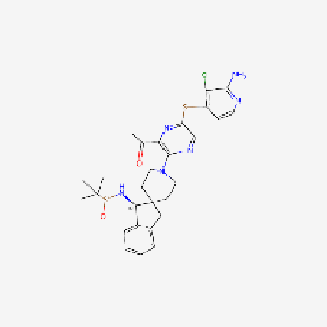 CC(=O)c1nc(Sc2ccnc(N)c2Cl)cnc1N1CCC2(CC1)Cc1ccccc1[C@H]2N[S+]([O-])C(C)(C)C